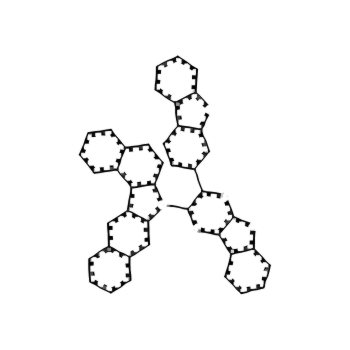 c1ccc2cc3c(cc2c1)c1c2ccccc2ccc1n3-c1nc2c(nc1-c1ccc3c(c1)sc1ccccc13)oc1ccccc12